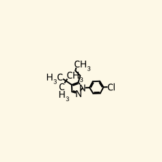 CCCc1c(C(C)(C)C)cnn1-c1ccc(Cl)cc1